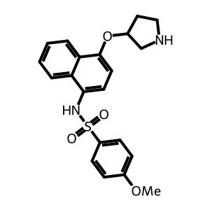 COc1ccc(S(=O)(=O)Nc2ccc(OC3CCNC3)c3ccccc23)cc1